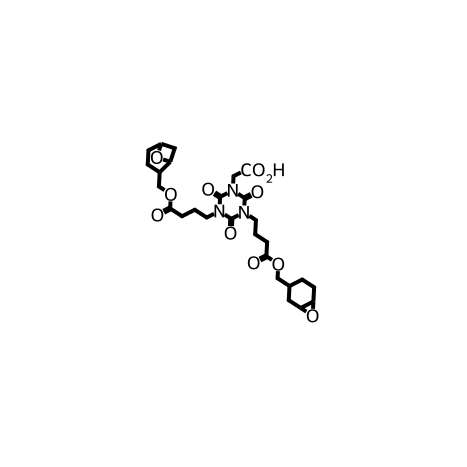 O=C(O)Cn1c(=O)n(CCCC(=O)OCC2CCC3OC3C2)c(=O)n(CCCC(=O)OCC2CCC3CC2O3)c1=O